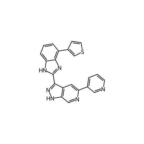 c1cncc(-c2cc3c(-c4nc5c(-c6ccsc6)cccc5[nH]4)n[nH]c3cn2)c1